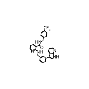 O=C(NCc1ccc(C(F)(F)F)cc1)c1cccnc1NCc1cccc(-c2c[nH]c3ncccc23)c1